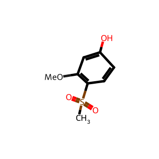 COc1cc(O)ccc1S(C)(=O)=O